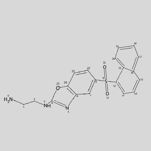 NCCNc1nc2cc(S(=O)(=O)c3cccc4ccccc34)ccc2o1